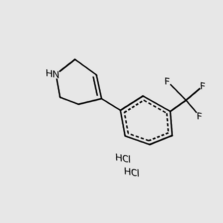 Cl.Cl.FC(F)(F)c1cccc(C2=CCNCC2)c1